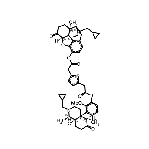 COc1c(OC(=O)Cc2ccc(CC(=O)Oc3ccc4c5c3O[C@H]3C(=O)CC[C@@]6(O)[C@@H](C4)N(CC4CC4)CC[C@]536)s2)ccc(C)c1[C@]12CCN(CC3CC3)[C@H](C)[C@]1(O)CCC(=O)[C@@H]2C